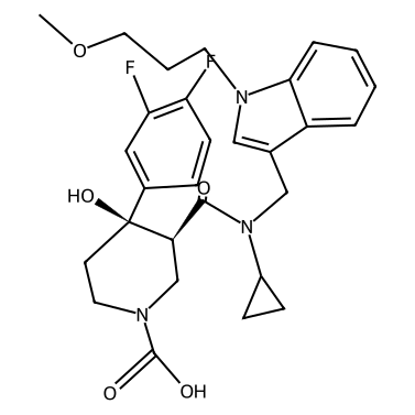 COCCCn1cc(CN(C(=O)[C@H]2CN(C(=O)O)CC[C@]2(O)c2ccc(F)c(F)c2)C2CC2)c2ccccc21